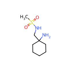 CS(=O)(=O)NCC1(N)CCCCC1